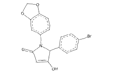 O=C1[C]=C(O)C(c2ccc(Br)cc2)N1c1ccc2c(c1)OCO2